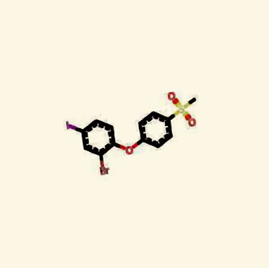 CS(=O)(=O)c1ccc(Oc2ccc(I)cc2Br)cc1